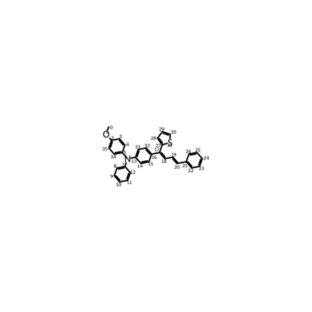 COc1ccc(N(c2ccccc2)c2ccc(C(=CC=Cc3ccccc3)c3cccs3)cc2)cc1